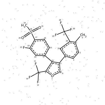 Cc1ccc(-c2noc(C(F)(F)F)c2-c2ccc(S(C)(=O)=O)c(F)c2)cc1C(F)(F)F